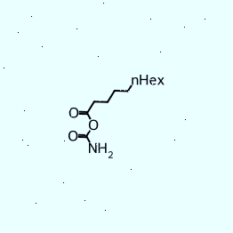 CCCCCCCCCCC(=O)OC(N)=O